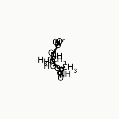 Cc1cc(OCC(O)CNC(C)(C)CNC(=O)CCCCO[N+](=O)[O-])c2ccc(=O)[nH]c2c1